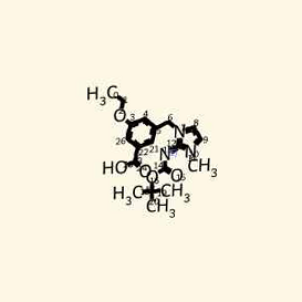 CCOc1cc(Cn2ccn(C)/c2=N\C(=O)OC(C)(C)C)cc(C(=O)O)c1